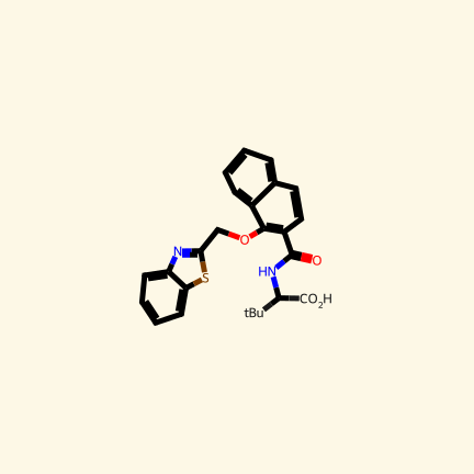 CC(C)(C)C(NC(=O)c1ccc2ccccc2c1OCc1nc2ccccc2s1)C(=O)O